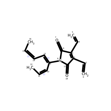 C=CC1=C(C=C)C(=O)N(C(/C=C\C)=C/C=C\C)C1=O